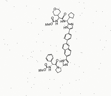 COC(=O)N[C@H](C(=O)N[C@H](c1ncc(-c2ccc(-c3ccc4cc(-c5cnc([C@@H]6CCCN6C(=O)[C@H](NC(=O)OC)c6ccccc6)[nH]5)ccc4c3)cc2)[nH]1)C1CCCC1)C1CCOCC1